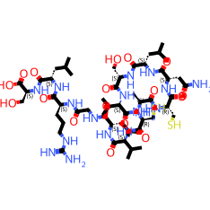 CC(C)C[C@H](NC(=O)[C@H](CCCNC(=N)N)NC(=O)CNC(=O)[C@H](CC(C)C)NC(=O)[C@@H](NC(=O)[C@H](CS)NC(=O)[C@@H](NC(=O)[C@H](CO)NC(=O)[C@H](CC(C)C)NC(=O)[C@H](CC(N)=O)NC(=O)[C@H](CS)NC(=O)[C@H](C)N)C(C)C)C(C)C)C(=O)N[C@@H](CO)C(=O)O